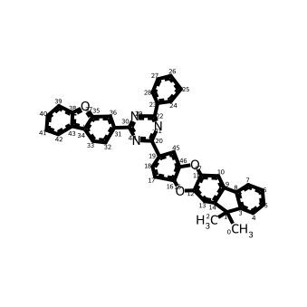 CC1(C)c2ccccc2-c2cc3c(cc21)Oc1ccc(-c2nc(-c4ccccc4)nc(-c4ccc5c(c4)oc4ccccc45)n2)cc1O3